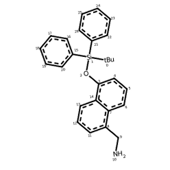 CC(C)(C)[Si](Oc1cccc2c(CN)cccc12)(c1ccccc1)c1ccccc1